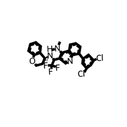 CN(C)c1c(C(N[C@H]2CCOc3ccccc32)C(F)(F)F)cnc2c(-c3cc(Cl)cc(Cl)c3)cccc12